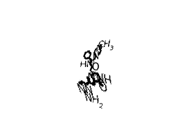 CN1CCN(C[C@@H](NC(=O)C[C@H]2CNC(=O)c3cc(-c4ccnc(N)n4)cn32)C2CCCCC2)CC1